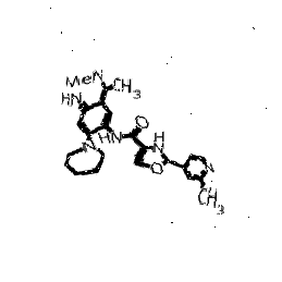 CN/C(C)=C1/C=C(NC(=O)C2=COC(c3ccnc(C)c3)N2)C(N2CCCCC2)=CC1=N